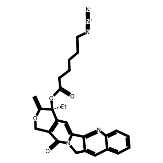 C=C1OCc2c(cc3n(c2=O)Cc2cc4ccccc4nc2-3)[C@]1(CC)OC(=O)CCCCCN=[N+]=[N-]